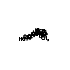 Cc1onc(-c2ccc(-c3ccc(CC(=O)O)cc3)cc2)c1NC(=O)OC(C)c1cccc(Br)c1